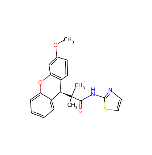 COc1ccc2c(c1)Oc1ccccc1[C@@H]2C(C)(C)C(=O)Nc1nccs1